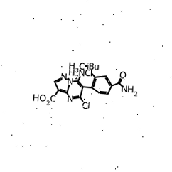 CCC(C)C.NC(=O)c1ccc(-c2c(Cl)nc3c(C(=O)O)cnn3c2N)c(Cl)c1